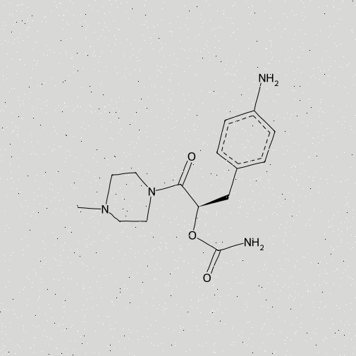 CN1CCN(C(=O)[C@@H](Cc2ccc(N)cc2)OC(N)=O)CC1